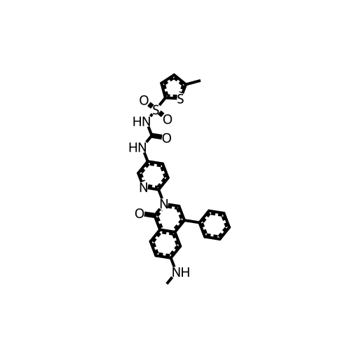 CNc1ccc2c(=O)n(-c3ccc(NC(=O)NS(=O)(=O)c4ccc(C)s4)cn3)cc(-c3ccccc3)c2c1